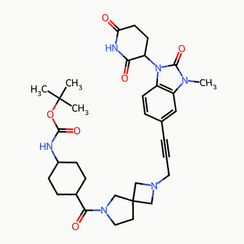 Cn1c(=O)n(C2CCC(=O)NC2=O)c2ccc(C#CCN3CC4(CCN(C(=O)C5CCC(NC(=O)OC(C)(C)C)CC5)C4)C3)cc21